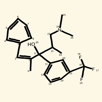 CC(=Cc1ccccc1)C(O)(c1cccc(C(F)(F)F)c1)C(C)CN(C)C